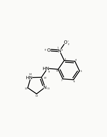 O=[N+]([O-])c1ccccc1NC1=NCCN1